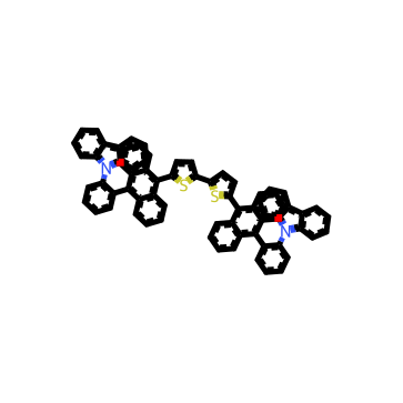 c1ccc(-n2c3ccccc3c3ccccc32)c(-c2c3ccccc3c(-c3ccc(-c4ccc(-c5c6ccccc6c(-c6ccccc6-n6c7ccccc7c7ccccc76)c6ccccc56)s4)s3)c3ccccc23)c1